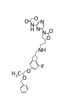 CC(COc1cc(F)c2c(c1)CC(CNCCC1CN(c3cnc4c(n3)NC(=O)CO4)C(=O)O1)C2)OCc1ccccc1